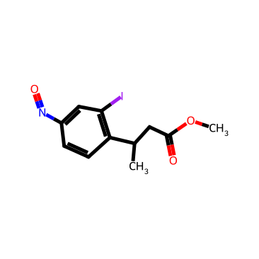 COC(=O)CC(C)c1ccc(N=O)cc1I